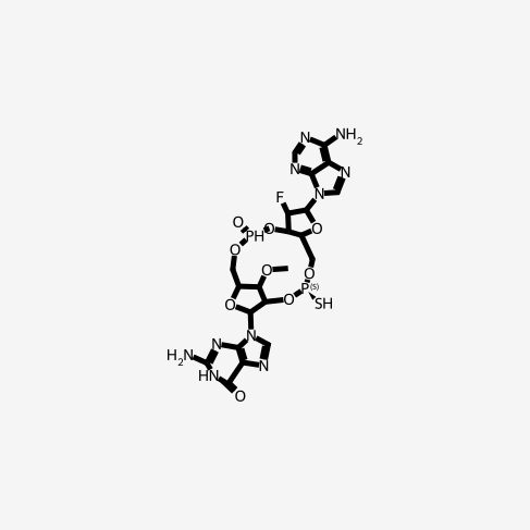 COC1C2CO[PH](=O)OC3C(CO[P@@](S)OC1C(n1cnc4c(=O)[nH]c(N)nc41)O2)OC(n1cnc2c(N)ncnc21)C3F